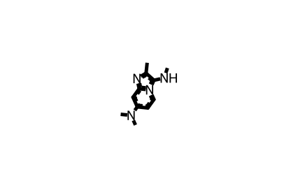 CNc1c(C)nc2cc(N(C)C)ccn12